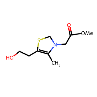 COC(=O)CN1CSC(CCO)=C1C